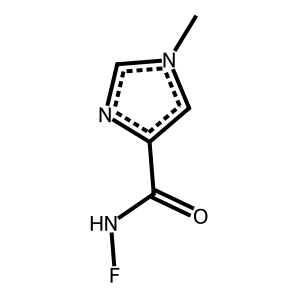 Cn1cnc(C(=O)NF)c1